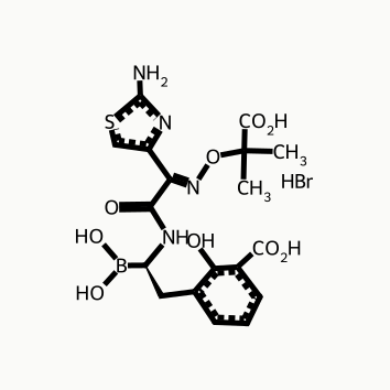 Br.CC(C)(ON=C(C(=O)N[C@@H](Cc1cccc(C(=O)O)c1O)B(O)O)c1csc(N)n1)C(=O)O